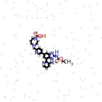 CCOC(=O)Nc1nc2cc(-c3ccc(CN4CCCN(C(=O)O)CC4)nc3)cc(-c3ncccc3F)c2[nH]1